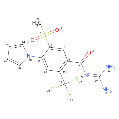 CS(=O)(=O)c1cc(C(=O)N=C(N)N)c(C(F)(F)F)cc1-n1cccc1